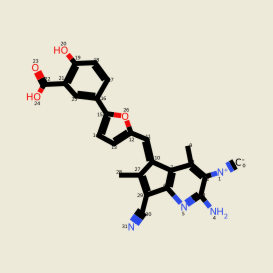 [C-]#[N+]c1c(N)nc2c(c1C)/C(=C/c1ccc(-c3ccc(O)c(C(=O)O)c3)o1)C(C)=C2C#N